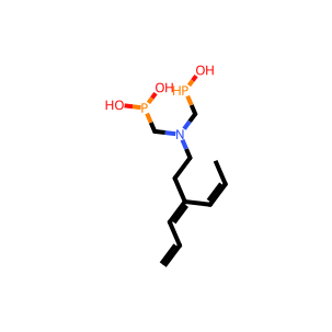 C=C/C=C(\C=C/C)CCN(CPO)CP(O)O